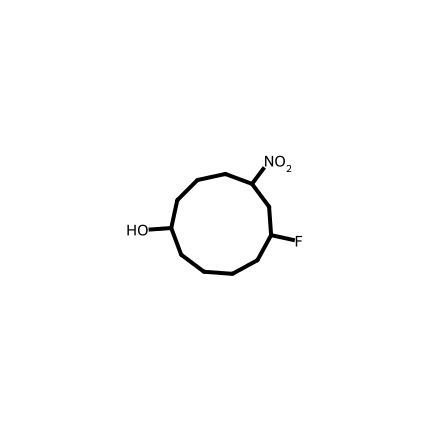 O=[N+]([O-])C1CCCC(O)CCCCC(F)C1